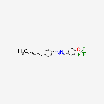 CCC=CCCc1ccc(C=NN=Cc2ccc(OC(F)(F)F)cc2)cc1